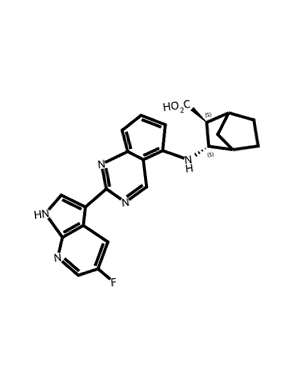 O=C(O)[C@H]1C2CCC(C2)[C@@H]1Nc1cccc2nc(-c3c[nH]c4ncc(F)cc34)ncc12